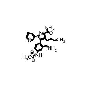 CCCCc1c(C(N)=O)nn(-c2cccnc2)c1-c1ccc(NS(C)(=O)=O)cc1CN